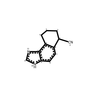 N#CC1CCCc2c1ccc1[nH]cnc21